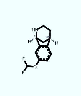 FC(F)Oc1ccc2c(c1)[C@@H]1C[C@H]2CCN1